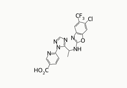 CC(Nc1nc2cc(C(F)(F)F)c(Cl)cc2o1)c1ncnn1-c1ccc(C(=O)O)cn1